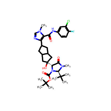 CN1C(=O)[C@@H](C2(O)CC3CC(c4ncn(C)c4C(=O)Nc4ccc(F)c(Cl)c4)CC3C2)N(C(=O)OC(C)(C)C)[C@@H]1C(C)(C)C